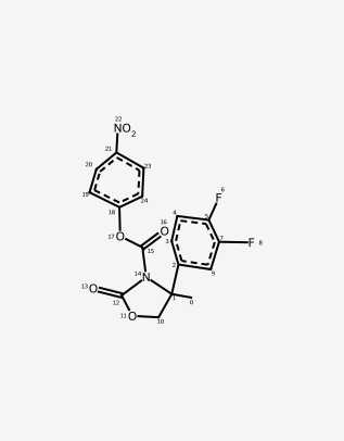 CC1(c2ccc(F)c(F)c2)COC(=O)N1C(=O)Oc1ccc([N+](=O)[O-])cc1